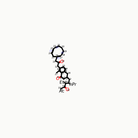 CCCC(CC1CC(=O)c2c(ccc(CC(=O)C/C3=C/C=C\C/C=C\C=C/C3)c2C)C1)C(CC)C(=O)CC(C)=O